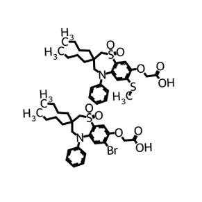 CCCCC1(CCCC)CN(c2ccccc2)c2cc(Br)c(OCC(=O)O)cc2S(=O)(=O)C1.CCCCC1(CCCC)CN(c2ccccc2)c2cc(SC)c(OCC(=O)O)cc2S(=O)(=O)C1